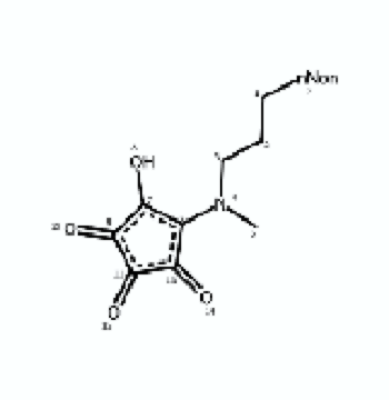 CCCCCCCCCCCCN(C)c1c(O)c(=O)c(=O)c1=O